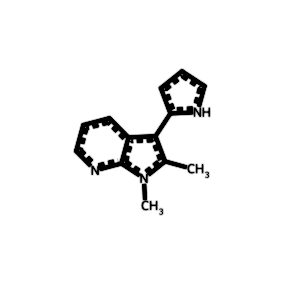 Cc1c(-c2ccc[nH]2)c2cccnc2n1C